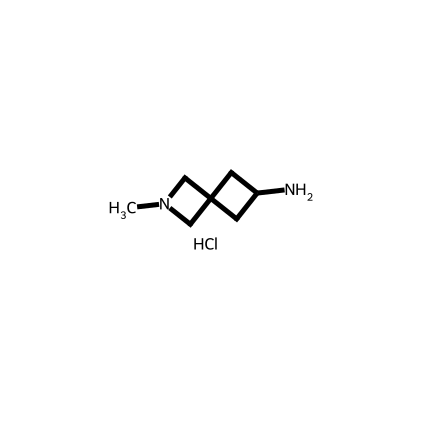 CN1CC2(CC(N)C2)C1.Cl